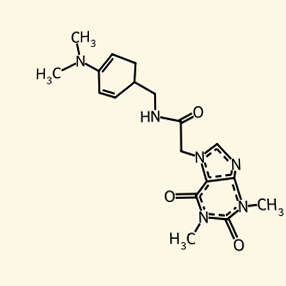 CN(C)C1=CCC(CNC(=O)Cn2cnc3c2c(=O)n(C)c(=O)n3C)C=C1